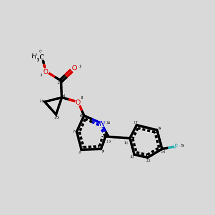 COC(=O)C1(Oc2cccc(-c3ccc(F)cc3)n2)CC1